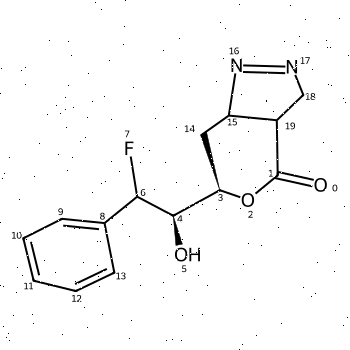 O=C1O[C@@H]([C@@H](O)C(F)c2ccccc2)CC2N=NCC12